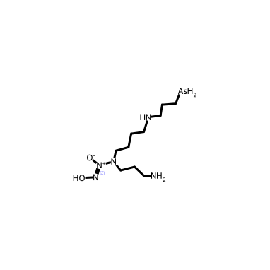 NCCCN(CCCCNCCC[AsH2])/[N+]([O-])=N/O